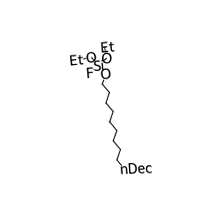 CCCCCCCCCCCCCCCCCCCO[Si](F)(OCC)OCC